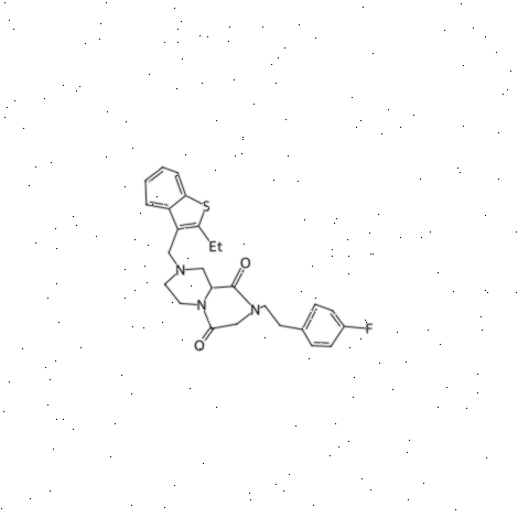 CCc1sc2ccccc2c1CN1CCN2C(=O)CN(CCc3ccc(F)cc3)C(=O)C2C1